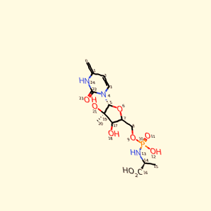 C=C1C=CN([C@@H]2OC(COP(=O)(O)N[C@@H](C)C(=O)O)C(O)[C@@]2(C)O)C(=O)N1